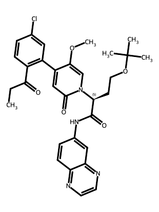 CCC(=O)c1ccc(Cl)cc1-c1cc(=O)n([C@@H](CCOC(C)(C)C)C(=O)Nc2ccc3nccnc3c2)cc1OC